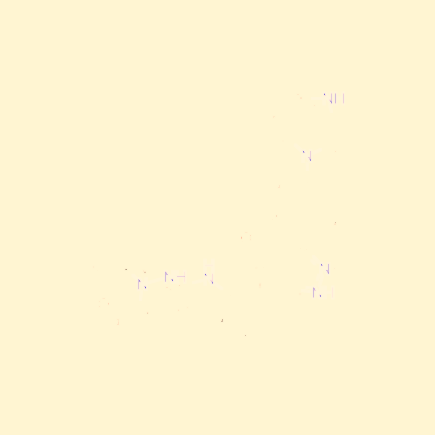 O=C(Nc1cccc2c1C(=O)c1c(-c3ccc(N4CCCNCC4)cc3)n[nH]c1-2)NN1CCOCC1